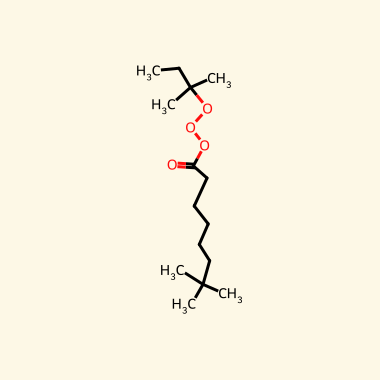 CCC(C)(C)OOOC(=O)CCCCCC(C)(C)C